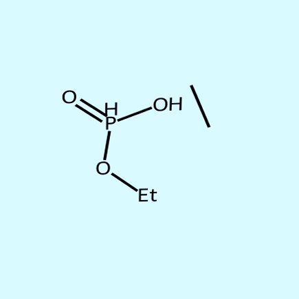 CC.CCO[PH](=O)O